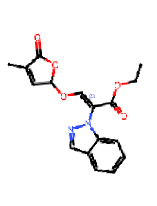 CCOC(=O)/C(=C/OC1C=C(C)C(=O)O1)n1ncc2ccccc21